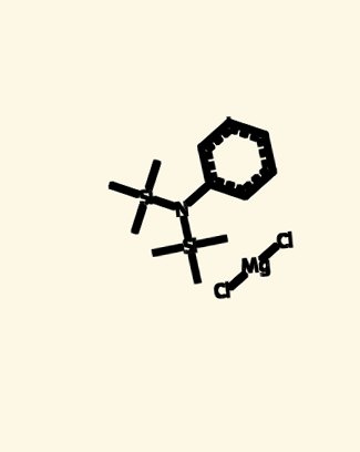 C[Si](C)(C)N(c1c[c]ccc1)[Si](C)(C)C.[Cl][Mg][Cl]